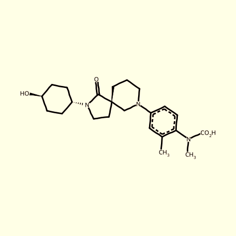 Cc1cc(N2CCC[C@]3(CCN([C@H]4CC[C@H](O)CC4)C3=O)C2)ccc1N(C)C(=O)O